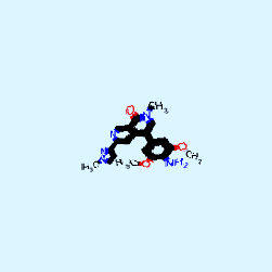 COc1cc(-c2cn(C)c(=O)c3cnc(-c4ccn(C)n4)cc23)cc(OC)c1N